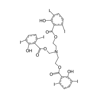 O=C(OCCN(CCOC(=O)c1c(I)ccc(I)c1O)COC(=O)c1c(I)ccc(I)c1O)c1c(I)ccc(I)c1O